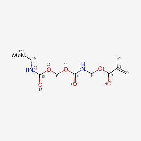 C=C(C)C(=O)OCNC(=O)OCOC(=O)NCNC